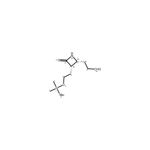 CC(C)(C)[Si](C)(C)OCC[C@@H]1C(=O)N[C@@H]1CCC=O